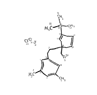 Cc1cc(C)cc(C[C]2([Ti+3])C=CC([Si](C)(C)C)=C2)c1.[Cl-].[Cl-].[Cl-]